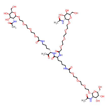 CC(=O)N[C@H]1[C@H](OCCOCCOCCOCC(=O)NCCCCC(NC(=O)COCCOCCOCCO[C@@H]2O[C@H](CO)[C@H](O)[C@H](O)[C@H]2NC(C)=O)C(=O)N[C@@H](CCCCNC(=O)COCCOCCOCCO[C@@H]2O[C@H](CO)[C@H](O)[C@H](O)[C@H]2NC(C)=O)C(C)=O)O[C@H](CO)[C@H](O)[C@@H]1O